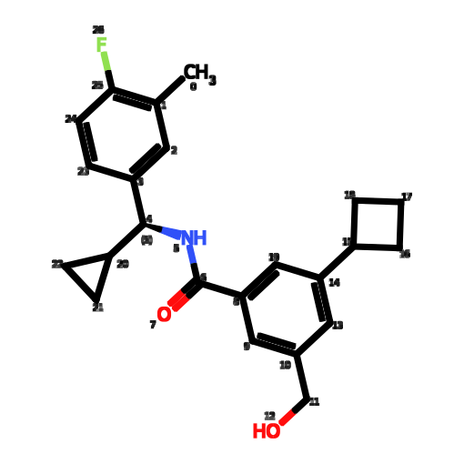 Cc1cc([C@@H](NC(=O)c2cc(CO)cc(C3CCC3)c2)C2CC2)ccc1F